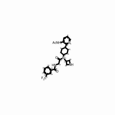 CC(=O)Nc1cccnc1C1CCC(N(C(=O)CNC(=O)c2cccc(C(F)(F)F)c2)C2CNC2)CC1